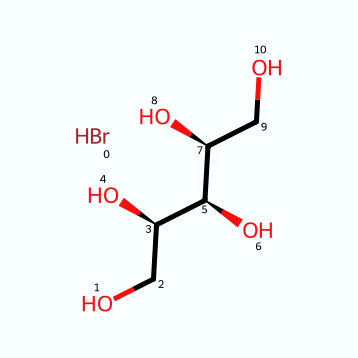 Br.OC[C@@H](O)[C@H](O)[C@@H](O)CO